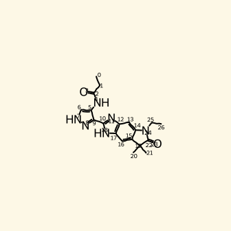 CCC(=O)Nc1c[nH]nc1-c1nc2cc3c(cc2[nH]1)C(C)(C)C(=O)N3CC